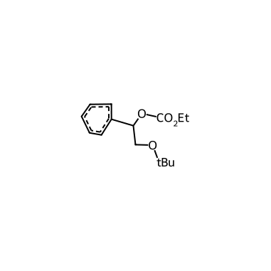 CCOC(=O)OC(COC(C)(C)C)c1ccccc1